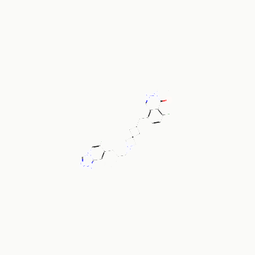 C[C@H](Cc1cc2nncn2cc1F)CN1CC2(CC(Cc3ccc(Cl)c4c(=O)n(C)ncc34)C2)C1